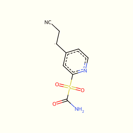 N#CC[CH]c1ccnc(S(=O)(=O)C(N)=O)c1